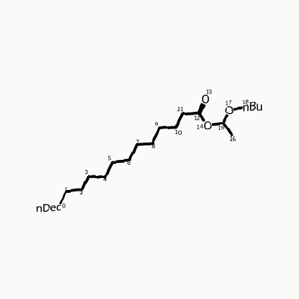 CCCCCCCCCCCCCCCCCCCCCC(=O)OC(C)OCCCC